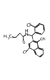 CCCC(=O)NC(c1ccccc1Cl)c1cc(Cl)c2cccnc2c1O